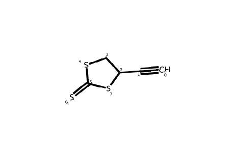 C#CC1CSC(=S)S1